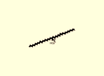 CCCCCCCCCCCCCCCCCCC(CCCCCCCCCCCCCCCCCC)CN(C)C.Cl